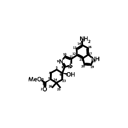 COC(=O)[C@H]1CC[C@](O)(c2ncc(-c3cc(N)cc4[nH]ccc34)s2)CC1(C)C